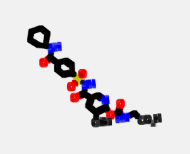 CC(C)COc1cc(C(=O)NS(=O)(=O)c2ccc(C(=O)NC3CCCCC3)cc2)cnc1OC(=O)NCC(=O)O